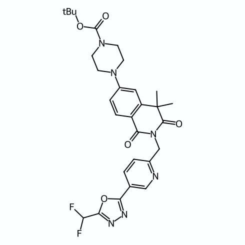 CC(C)(C)OC(=O)N1CCN(c2ccc3c(c2)C(C)(C)C(=O)N(Cc2ccc(-c4nnc(C(F)F)o4)cn2)C3=O)CC1